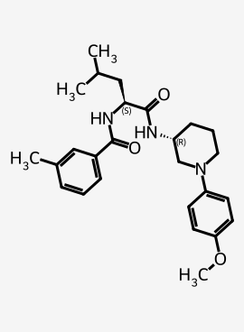 COc1ccc(N2CCC[C@@H](NC(=O)[C@H](CC(C)C)NC(=O)c3cccc(C)c3)C2)cc1